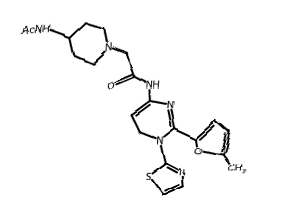 CC(=O)NC1CCN(CC(=O)NC2=CCN(c3nccs3)C(c3ccc(C)o3)=N2)CC1